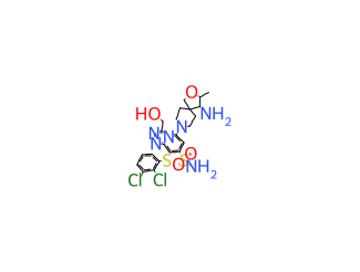 CC1OCC2(CCN(c3cc(S(N)(=O)=O)c(Sc4cccc(Cl)c4Cl)c4nnc(CO)n34)CC2)C1N